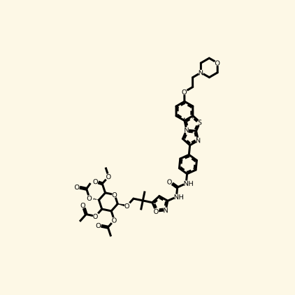 COC(=O)C1O[C@@H](OCC(C)(C)c2cc(NC(=O)Nc3ccc(-c4cn5c(n4)sc4cc(OCCN6CCOCC6)ccc45)cc3)no2)C(OC(C)=O)C(OC(C)=O)[C@@H]1OC(C)=O